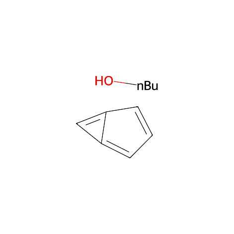 CCCCO.c1cc2cc-2c1